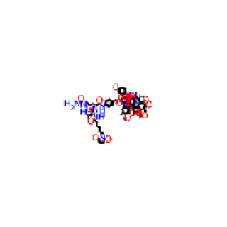 COc1ccc2[nH]c3c(c2c1)CCN[C@]31CS[C@@H]2c3c(OC(C)=O)c(C)c4c(c3[C@H](COC1=O)N1[C@@H]2[C@H]2c3c(cc(C)c(OC)c3O)C3(C(=O)OCc5ccc(NC(=O)[C@H](CCCNC(N)=O)NC(=O)[C@@H](NC(=O)CCCCCN6C(=O)C=CC6=O)C(C)C)cc5)CC1(C)CN23)OCO4